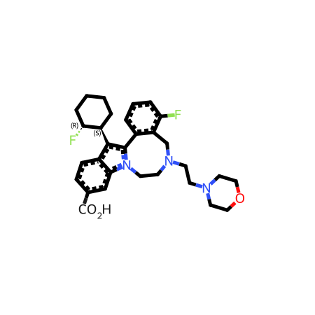 O=C(O)c1ccc2c([C@@H]3CCCC[C@H]3F)c3n(c2c1)CCN(CCN1CCOCC1)Cc1c(F)cccc1-3